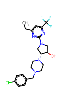 CCc1cc(C(F)(F)F)nc(N2C[C@@H](O)[C@H](N3CCN(Cc4ccc(Cl)cc4)CC3)C2)n1